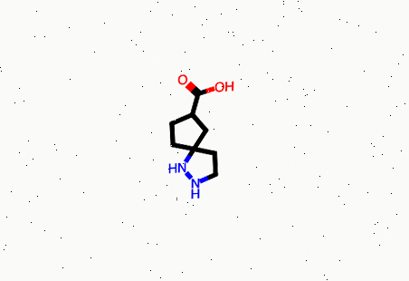 O=C(O)C1CCC2(CCNN2)C1